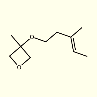 CC=C(C)CCOC1(C)COC1